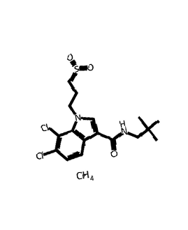 C.CC(C)(C)CNC(=O)c1cn(CCC=S(=O)=O)c2c(Cl)c(Cl)ccc12